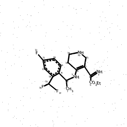 CCOC(=O)C(=N)C1=C(NC(C)c2ccc(F)cc2C(F)F)CCNC1